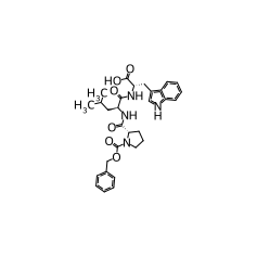 CC(C)C[C@H](NC(=O)[C@@H]1CCCN1C(=O)OCc1ccccc1)C(=O)N[C@@H](Cc1c[nH]c2ccccc12)C(=O)O